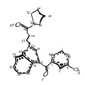 O=C(c1cc(Cl)ncn1)c1cn(CCC(=O)N2CCCC2)c2ccccc12